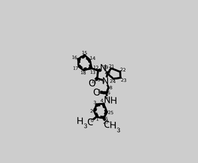 Cc1ccc(NC(=O)CN2C(=O)C(c3ccccc3)=NC23CCCC3)cc1C